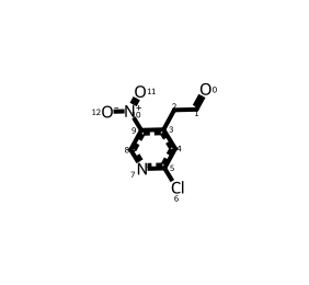 O=CCc1cc(Cl)ncc1[N+](=O)[O-]